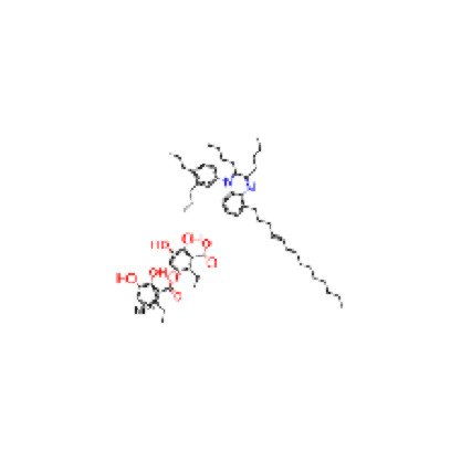 CCCCCCCCCC=CCCCc1ccccc1N=C(CCCC)C(CCCC)=Nc1ccc(CCC)c(CCC)c1.CCc1ccc(O)c(O)c1C(=O)[O-].CCc1ccc(O)c(O)c1C(=O)[O-].[Ni+2]